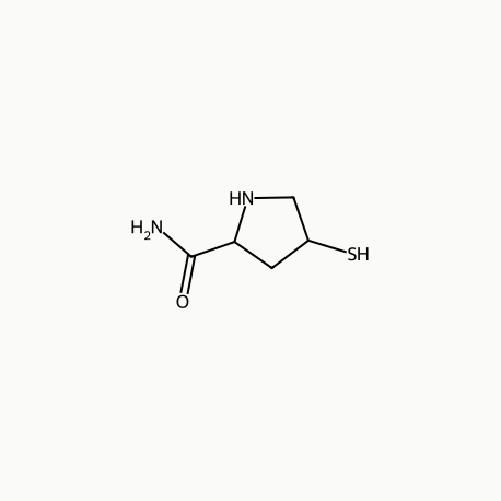 NC(=O)C1CC(S)CN1